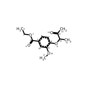 CCOC(=O)c1ccc(OC(C)C(C)=O)c(OC)c1